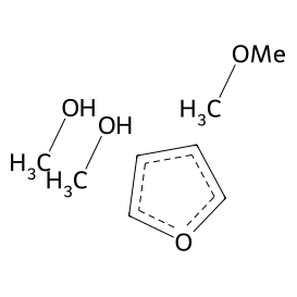 CO.CO.COC.c1ccoc1